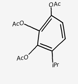 CC(=O)Oc1ccc(C(C)C)c(OC(C)=O)c1OC(C)=O